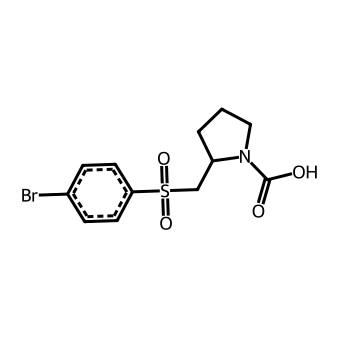 O=C(O)N1CCCC1CS(=O)(=O)c1ccc(Br)cc1